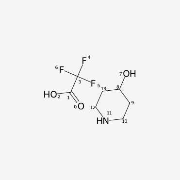 O=C(O)C(F)(F)F.OC1CCNCC1